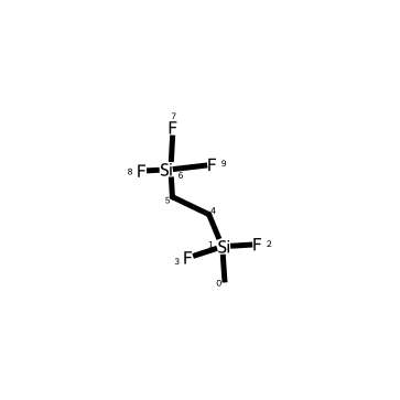 C[Si](F)(F)CC[Si](F)(F)F